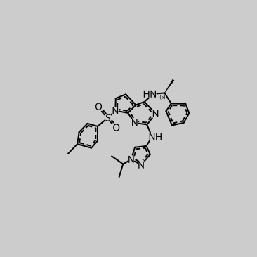 Cc1ccc(S(=O)(=O)n2ccc3c(N[C@@H](C)c4ccccc4)nc(Nc4cnn(C(C)C)c4)nc32)cc1